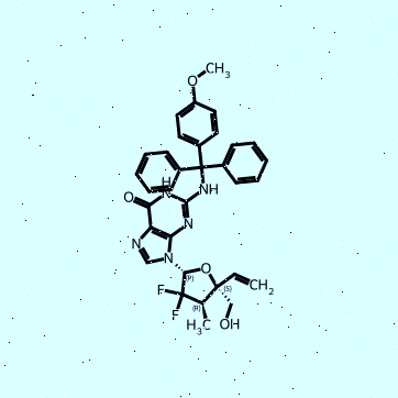 C=C[C@]1(CO)O[C@@H](n2cnc3c(=O)[nH]c(NC(c4ccccc4)(c4ccccc4)c4ccc(OC)cc4)nc32)C(F)(F)[C@@H]1C